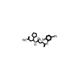 C=C(C#N)CC(NC(=O)CCC(=C)Sc1cc(C(C)C)ccc1N)C1CCCC1